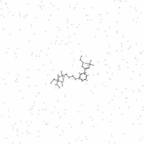 CCCC/C(=C\[Si](C)(C)C)c1cccc(CCCCC(C)(C)O[Si](CC)(CC)CC)c1